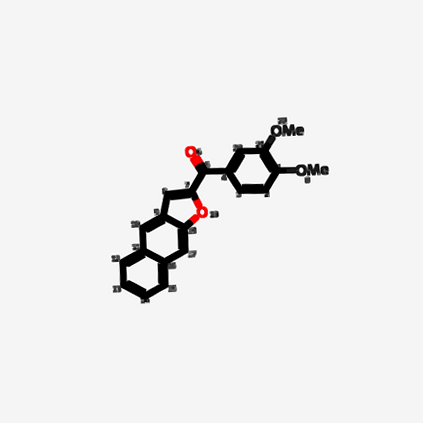 COc1ccc(C(=O)c2cc3cc4ccccc4cc3o2)cc1OC